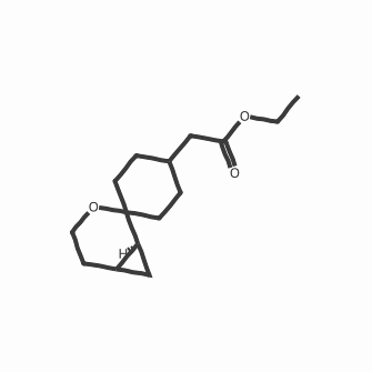 CCOC(=O)CC1CCC2(CC1)OCCC1C[C@@H]12